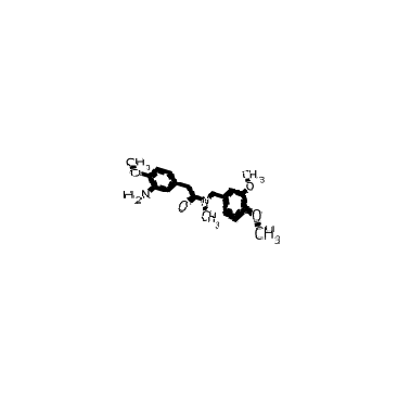 COc1ccc(CC(=O)N(C)Cc2ccc(OC)c(OC)c2)cc1N